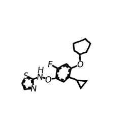 Fc1cc(OC2CCCCC2)c(C2CC2)cc1ONc1nccs1